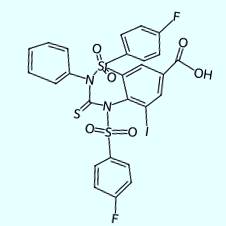 O=C(O)c1cc(I)c(N(C(=S)N(c2ccccc2)S(=O)(=O)c2ccc(F)cc2)S(=O)(=O)c2ccc(F)cc2)c(I)c1